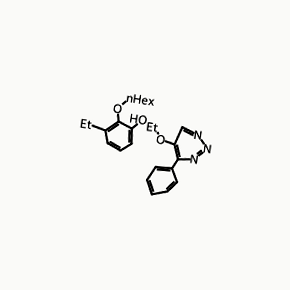 CCCCCCOc1c(O)cccc1CC.CCOc1cnnnc1-c1ccccc1